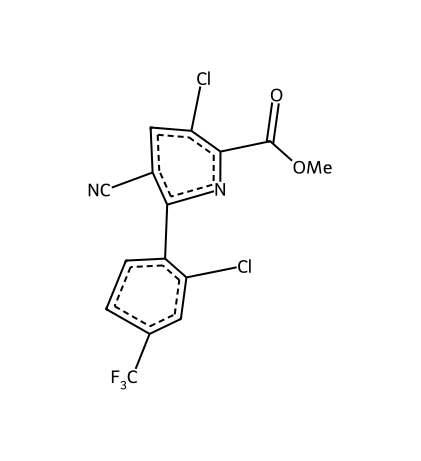 COC(=O)c1nc(-c2ccc(C(F)(F)F)cc2Cl)c(C#N)cc1Cl